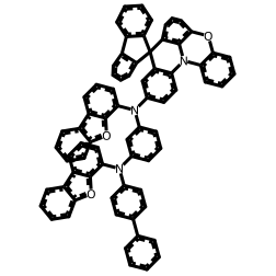 c1ccc(-c2ccc(N(c3cccc(N(c4ccc5c(c4)C4(c6ccccc6-c6ccccc64)c4cccc6c4N5c4ccccc4O6)c4cccc5c4oc4ccccc45)c3)c3cccc4c3oc3ccccc34)cc2)cc1